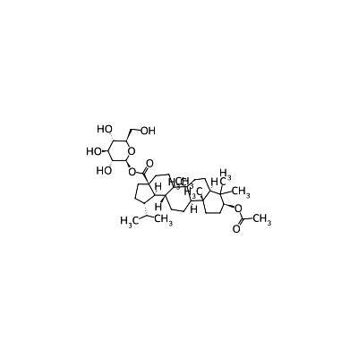 CC(=O)O[C@H]1CC[C@]2(C)[C@H]3CC[C@@H]4[C@H]5[C@H](C(C)C)CC[C@]5(C(=O)O[C@@H]5O[C@H](CO)[C@@H](O)[C@H](O)[C@H]5O)CC[C@@]4(C)[C@]3(C)CC[C@H]2C1(C)C